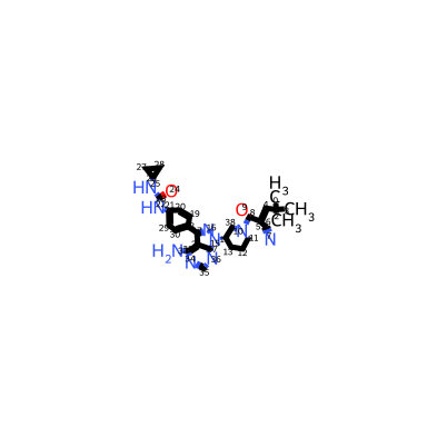 CC(C)(C)/C=C(\C#N)C(=O)N1CCC[C@@H](n2nc(-c3ccc(NC(=O)NC4CC4)cc3)c3c(N)ncnc32)C1